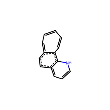 C1=CC=c2ccc3c(c2C=C1)NC=CC=3